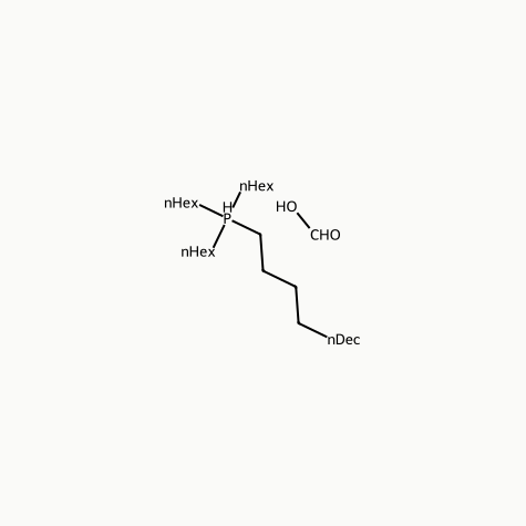 CCCCCCCCCCCCCC[PH](CCCCCC)(CCCCCC)CCCCCC.O=CO